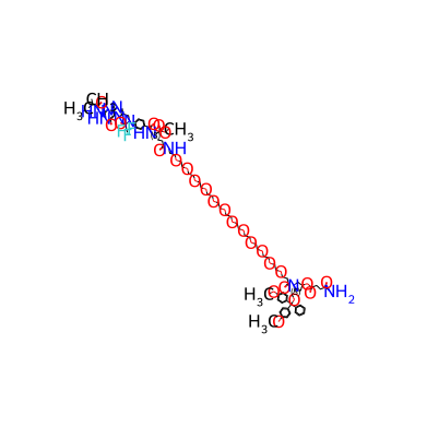 COC(=O)[C@H](CCC(=O)NCCOCCOCCOCCOCCOCCOCCOCCOCCOCCOCCOCCOCCC(=O)N1CC(OC(=O)CCC(N)=O)C[C@H]1COC(c1ccccc1)(c1ccc(OC)cc1)c1ccc(OC)cc1)NC(=O)c1ccc(N(Cc2cnc3nc(NC(=O)C(C)C)[nH]c(=O)c3n2)C(=O)C(F)(F)F)cc1